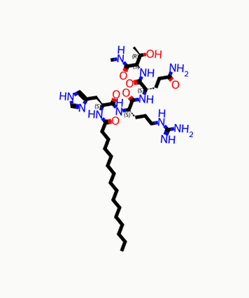 CCCCCCCCCCCCCCCC(=O)N[C@@H](Cc1c[nH]cn1)C(=O)N[C@@H](CCCNC(=N)N)C(=O)N[C@@H](CCC(N)=O)C(=O)N[C@H](C(=O)NC)[C@@H](C)O